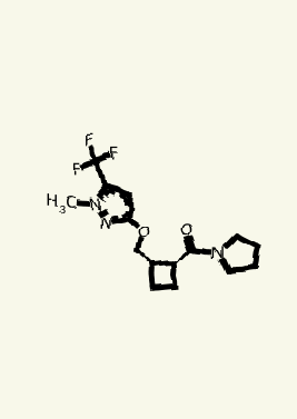 Cn1nc(OC[C@@H]2CC[C@@H]2C(=O)N2CCCC2)cc1C(F)(F)F